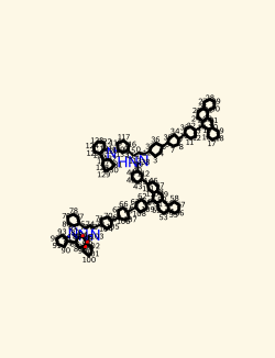 C1=C(c2ccc(-c3ccc(-c4ccc(-c5c6ccccc6cc6c5ccc5ccccc56)cc4)cc3)cc2)N=C(c2cccc(-c3ccc4cc5c(ccc6ccccc65)c(-c5ccc(-c6ccc(-c7ccc(-c8cc(-c9ccccc9-n9c%10ccccc%10c%10ccccc%109)nc(-c9ccccc9)n8)cc7)cc6)cc5)c4c3)c2)NC1c1cccc(-n2c3ccccc3c3ccccc32)c1